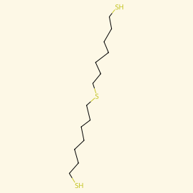 SCCCCCCCSCCCCCCCS